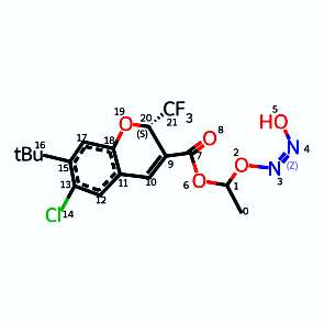 CC(O/N=N\O)OC(=O)C1=Cc2cc(Cl)c(C(C)(C)C)cc2O[C@@H]1C(F)(F)F